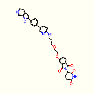 O=C1CCC(N2C(=O)c3ccc(OCCOCCCNc4ccc(-c5ccc(-c6cc7ccncc7[nH]6)cc5)cn4)cc3C2=O)C(=O)N1